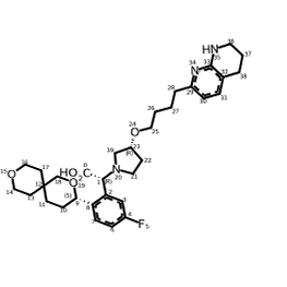 O=C(O)[C@@H](c1cc(F)ccc1[C@@H]1CCC2(CCOCC2)CO1)N1CC[C@@H](OCCCCc2ccc3c(n2)NCCC3)C1